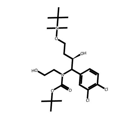 CC(C)(C)OC(=O)N(CCO)C(c1ccc(Cl)c(Cl)c1)[C@H](O)CCO[Si](C)(C)C(C)(C)C